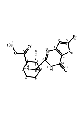 CC(C)(C)OC(=O)N1C2CCC(CC2)[C@@H]1c1nc2cc(Br)sc2c(=O)[nH]1